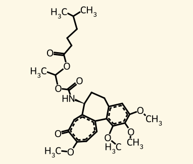 COc1cc2c(c(OC)c1OC)-c1ccc(OC)c(=O)cc1[C@@H](NC(=O)OC(C)OC(=O)CCCC(C)C)CC2